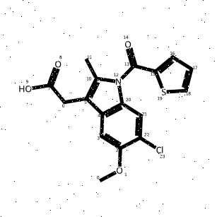 COc1cc2c(CC(=O)O)c(C)n(C(=O)c3cccs3)c2cc1Cl